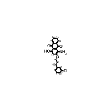 Nc1c(OCCNc2cccc(Cl)c2)cc(O)c2c1C(=O)c1ccccc1C2=O